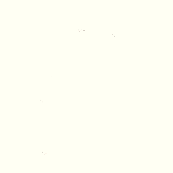 COc1cc2c(cc1S(=O)(=O)N1CCCC1)Cc1c([nH]c3cc(C#N)ccc13)C2(C)C